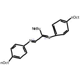 CCCCCCCCc1ccc(/N=C/C(CCCC)=N/c2ccc(CCCCCCCC)cc2)cc1.[Ni]